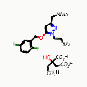 CNCc1cc(OCc2cc(F)ccc2F)n(CCC(C)(C)C)n1.O=C(O)CC(O)(CC(=O)O)C(=O)O